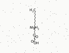 CCCCCCCCCCCCCCCCOC(=O)C=CC(=O)O.[MgH2]